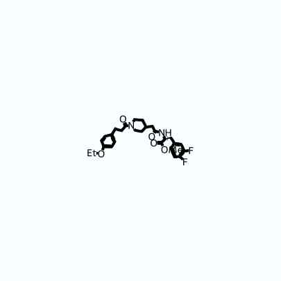 CCOc1ccc(CCC(=O)N2CCC(CC(=O)N[C@@H](Cc3ccc(F)c(F)c3)C(=O)OC)CC2)cc1